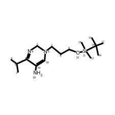 CC(C)C1=NCN(CCCO[Si](C)(C)C(C)(C)C)C=C1N